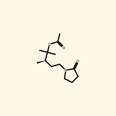 CC(=O)OC(C)(C)[C@H](C)CCN1CCCC1=O